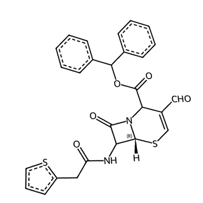 O=CC1=CS[C@@H]2C(NC(=O)Cc3cccs3)C(=O)N2C1C(=O)OC(c1ccccc1)c1ccccc1